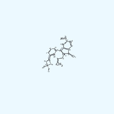 C=CCn1c(=O)c2cnc(SC)nc2n1-c1cccc(N2CC(F)(F)C2)n1